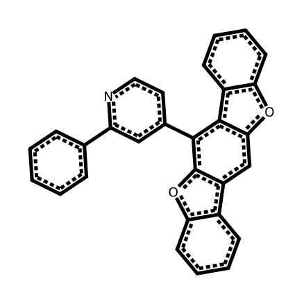 c1ccc(-c2cc(-c3c4oc5ccccc5c4cc4oc5ccccc5c34)ccn2)cc1